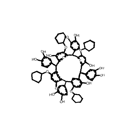 Oc1ccc(C2c3cc(c(OC4CCCCC4)cc3O)C(c3ccc(O)c(O)c3)c3cc(c(OC4CCCCC4)cc3O)C(c3ccc(O)c(O)c3)c3cc(c(OC4CCCCC4)cc3O)C(c3ccc(O)c(O)c3)c3cc2c(O)cc3OC2CCCCC2)cc1O